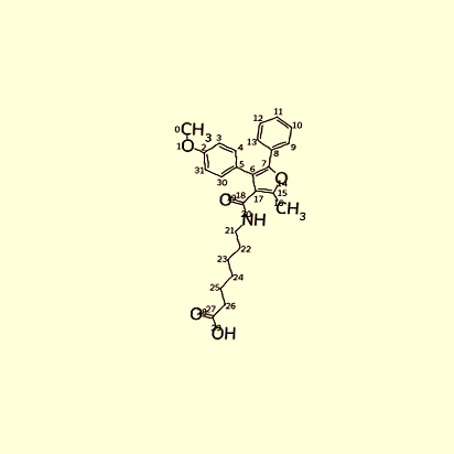 COc1ccc(-c2c(-c3ccccc3)oc(C)c2C(=O)NCCCCCCC(=O)O)cc1